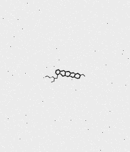 CCCCC(CC)Cc1cccc2cc3cc4cc5cc(CC)ccc5cc4cc3cc12